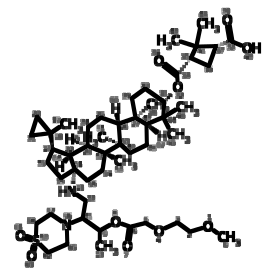 COCCOCC(=O)OC(C)C(CN[C@]12CC[C@@H](C3(C)CC3)[C@@H]1[C@H]1CC[C@@H]3[C@@]4(C)CC[C@H](OC(=O)[C@H]5C[C@@H](C(=O)O)C5(C)C)C(C)(C)[C@@H]4CC[C@@]3(C)[C@]1(C)CC2)N1CCS(=O)(=O)CC1